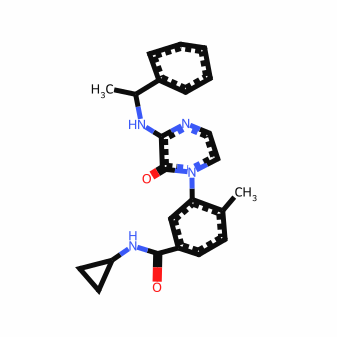 Cc1ccc(C(=O)NC2CC2)cc1-n1ccnc(NC(C)c2ccccc2)c1=O